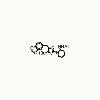 CC(=O)NC1CCCCN1c1nc(C(C)(C)C)c(Cc2ccc3c(c2)OCO3)s1